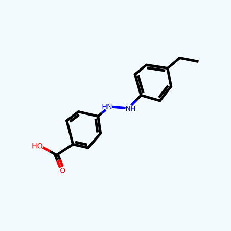 CCc1ccc(NNc2ccc(C(=O)O)cc2)cc1